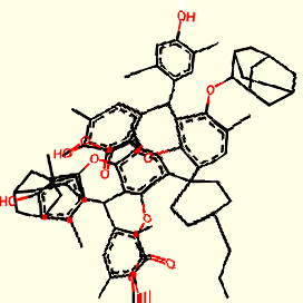 CCCC1CCC(c2cc(C)c(OC3C4CC5CC(C4)CC3C5)c(C(c3cc(C)c(O)cc3C)c3cc(C)c(O)cc3C)c2OCC(=O)OC)(c2cc(C)c(OC3C4CC5CC(C4)CC3C5)c(C(c3cc(C)c(O)cc3C)c3cc(C)c(O)cc3C)c2OCC(=O)OC)CC1